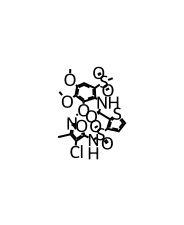 COc1cc(S(C)(=O)=O)c(NC(=O)c2sccc2S(=O)(=O)Nc2onc(C)c2Cl)c(OC)c1OC